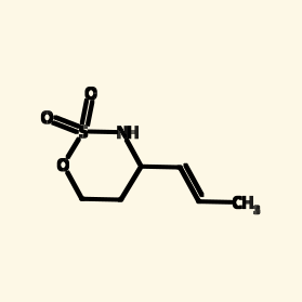 C/C=C/C1CCOS(=O)(=O)N1